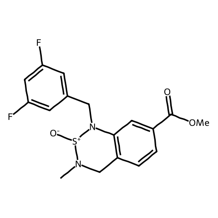 COC(=O)c1ccc2c(c1)N(Cc1cc(F)cc(F)c1)[S+]([O-])N(C)C2